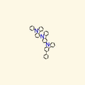 c1ccc(-c2ccc3c(c2)c2ccccc2n3-c2ccc3c(c2)c2ccccc2n3-c2cccc3c2c2ccccc2n3-c2ccccc2)cc1